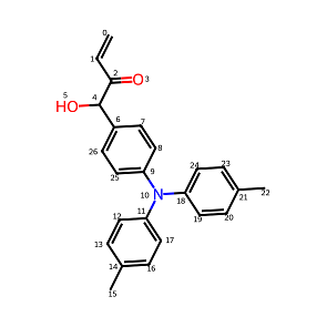 C=CC(=O)C(O)c1ccc(N(c2ccc(C)cc2)c2ccc(C)cc2)cc1